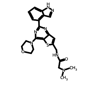 CN(C)CC(=O)NCc1cc2nc(-c3cccc4[nH]ncc34)nc(N3CCOCC3)c2s1